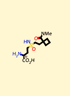 CNC(=O)C1(CCS(=N)(=O)CC[C@H](N)C(=O)O)CCC1